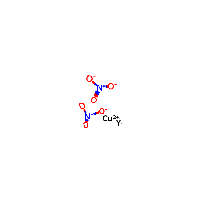 O=[N+]([O-])[O-].O=[N+]([O-])[O-].[Cu+2].[Y]